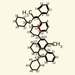 CC(=C(c1ccccc1)c1ccccc1)P(C1CCCCC1)C1CCC(c2ccc(-c3ccccc3P(C3CCCCC3)C3CCCCC3)c(C)c2)CC1